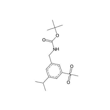 CC(C)c1cc(CNC(=O)OC(C)(C)C)cc(S(C)(=O)=O)c1